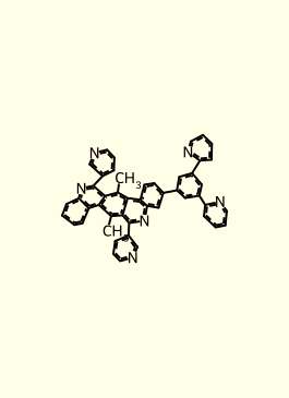 Cc1c2c(-c3cccnc3)nc3cc(-c4cc(-c5ccccn5)cc(-c5ccccn5)c4)ccc3c2c(C)c2c(-c3cccnc3)nc3ccccc3c12